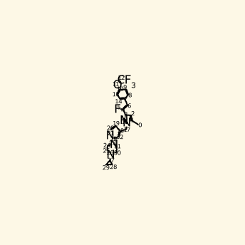 Cc1cc(C(F)=Cc2ccc(OC(F)(F)F)cc2)nn1Cc1ccnc(N2CCN(C3CC3)CC2)c1